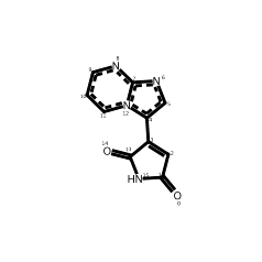 O=C1C=C(c2cnc3ncccn23)C(=O)N1